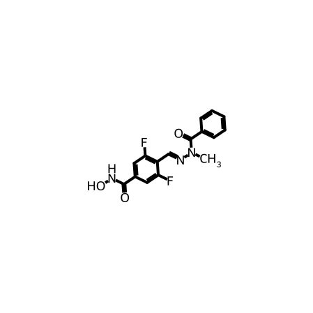 CN(N=Cc1c(F)cc(C(=O)NO)cc1F)C(=O)c1ccccc1